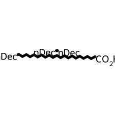 CCCCCCCCCCCCCCCCCCCCC.CCCCCCCCCCCCCCCCCCCCCCCCCCCCCCCC(=O)O